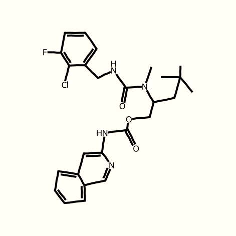 CN(C(=O)NCc1cccc(F)c1Cl)C(COC(=O)Nc1cc2ccccc2cn1)CC(C)(C)C